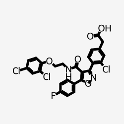 O=C(O)Cc1ccc(-c2noc(-c3ccc(F)cc3)c2C(=O)NCCOc2ccc(Cl)cc2Cl)c(Cl)c1